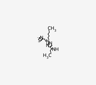 CCCCCCCN(CCc1cs[c]n1)c1ncc(C(=N)CCC)cn1